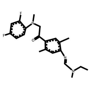 CCN(C)C=Nc1cc(C)c(C(=O)CN(C)c2ccc(F)cc2F)cc1C